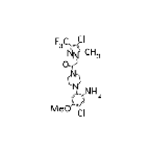 COc1cc(N2CCN(C(=O)Cn3nc(C(F)(F)F)c(Cl)c3C)CC2)c(N)cc1Cl